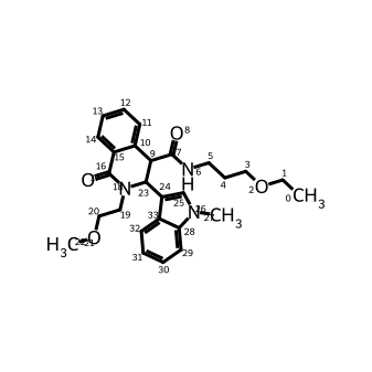 CCOCCCNC(=O)C1c2ccccc2C(=O)N(CCOC)C1c1cn(C)c2ccccc12